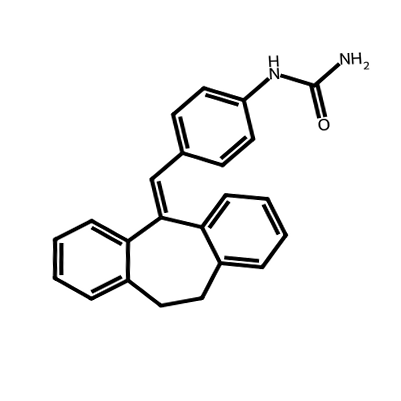 NC(=O)Nc1ccc(C=C2c3ccccc3CCc3ccccc32)cc1